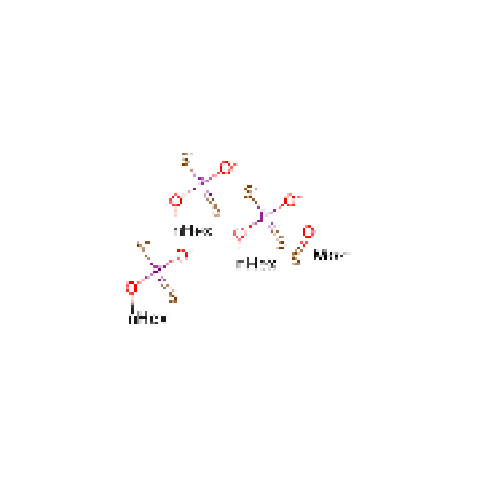 CCCCCCOP([O-])(=S)[S-].CCCCCCOP([O-])(=S)[S-].CCCCCCOP([O-])(=S)[S-].O=S.[Mo+6]